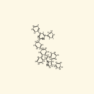 c1ccc(-c2cc(-c3ccccc3)nc(-c3cccc(-c4ccc(-c5c(-c6ccccc6)n6ncc(-c7ccccc7)c6c6ccccc56)cc4)c3)n2)cc1